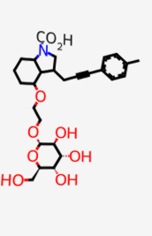 Cc1ccc(C#CCC2CN(C(=O)O)C3CCCC(OCCO[C@H]4O[C@H](CO)[C@@H](O)[C@@H](O)[C@@H]4O)C23)cc1